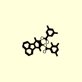 Cc1cc(C)cc(C(=O)OC2C(OC(=O)c3cc(C)cc(C)c3C)C3(C)CCC2(C)C2c4cccc5cccc(c45)C23)c1